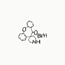 Br.O=C1c2ccccc2Oc2ccccc2C12CCNCC2